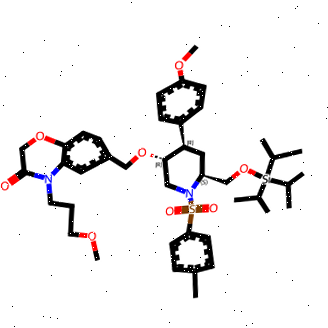 COCCCN1C(=O)COc2ccc(CO[C@H]3CN(S(=O)(=O)c4ccc(C)cc4)[C@H](CO[Si](C(C)C)(C(C)C)C(C)C)C[C@@H]3c3ccc(OC)cc3)cc21